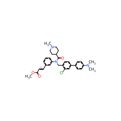 COC(=O)/C=C/c1cccc(N(Cc2ccc(-c3ccc(N(C)C)cc3)cc2Cl)C(=O)C2CCN(C)CC2)c1